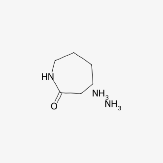 N.N.O=C1CCCCCN1